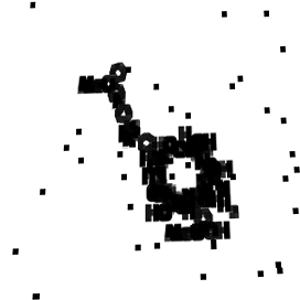 COc1cc(C[C@@H](O)[C@@H]2NC(=O)[C@@H]3C[C@@H](O)CN3C(=O)[C@H]([C@@H](C)O)NC(=O)[C@@H](NC[C@H]3CC[C@H](c4nnc(-c5ccc(N6CCC(OC)(C7CCCCC7)CC6)cc5)s4)CC3)C[C@@H](O)CNC(=O)[C@@H]3[C@@H](O)[C@@H](C)CN3C(=O)[C@H]([C@H](O)CCN)NC2=O)ccc1O